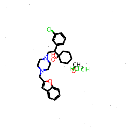 C=O.Cl.Cl.OC1(C(CN2CCN(Cc3cc4ccccc4o3)CC2)c2cccc(Cl)c2)CCCCC1